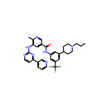 CCCN1CCC(c2cc(NC(=O)c3cnc(C)c(Nc4nccc(-c5cccnc5)n4)c3)cc(C(F)(F)F)c2)CC1